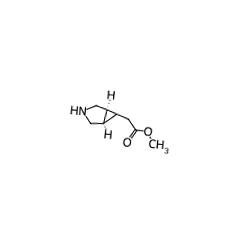 COC(=O)CC1[C@H]2CNC[C@@H]12